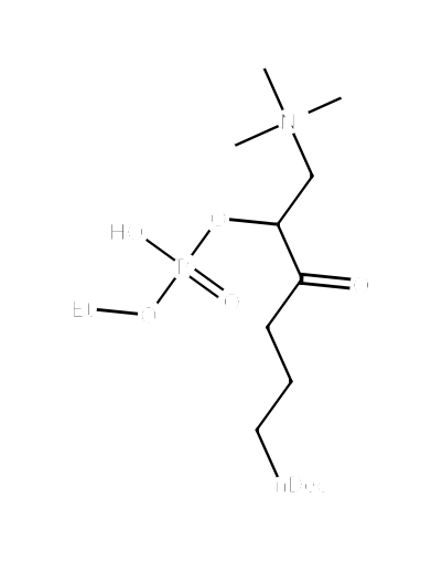 CCCCCCCCCCCCCC(=O)C(C[N+](C)(C)C)OP(=O)(O)OCC